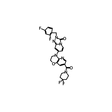 O=C(c1cnc2c(c1)OCCN2c1ccn2c(=O)n(Cc3ccc(F)cc3F)nc2c1)N1CCC(F)(F)CC1